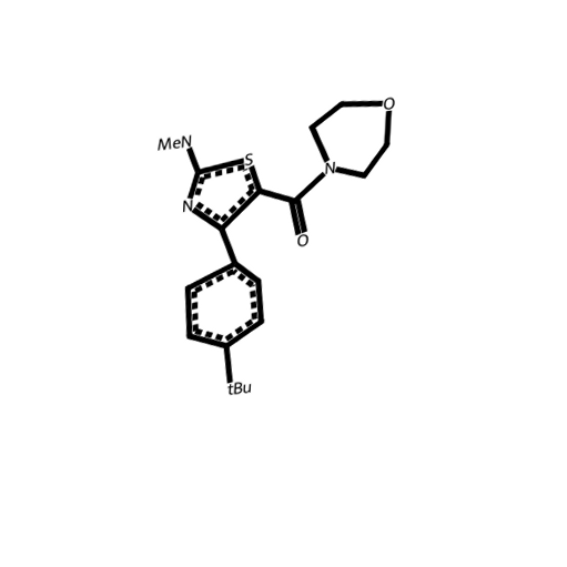 CNc1nc(-c2ccc(C(C)(C)C)cc2)c(C(=O)N2CCOCC2)s1